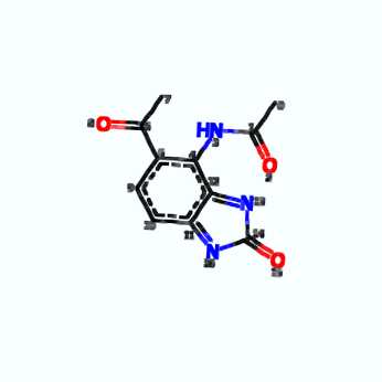 CC(=O)Nc1c(C(C)=O)ccc2c1=NC(=O)N=2